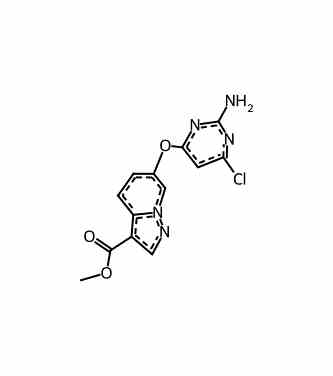 COC(=O)c1cnn2cc(Oc3cc(Cl)nc(N)n3)ccc12